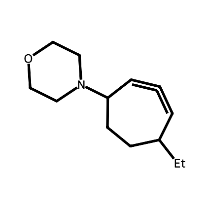 CCC1C=C=CC(N2CCOCC2)CC1